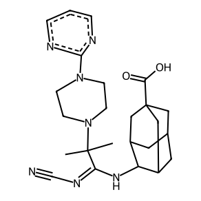 CC(C)(/C(=N\C#N)NC1C2CC3CC1CC(C(=O)O)(C3)C2)N1CCN(c2ncccn2)CC1